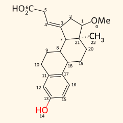 COC1C/C(=C\CC(=O)O)C2C3CCc4cc(O)ccc4C3CC[C@]12C